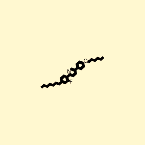 CCCCCCCc1ccc(-c2ccc(-c3ccc(OCCCCCC)cc3)cn2)c(F)c1